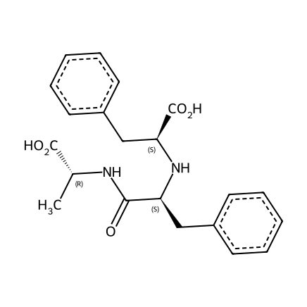 C[C@@H](NC(=O)[C@H](Cc1ccccc1)N[C@@H](Cc1ccccc1)C(=O)O)C(=O)O